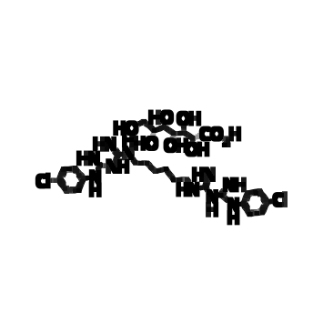 N=C(NCCCCCCNC(=N)NC(=N)Nc1ccc(Cl)cc1)NC(=N)Nc1ccc(Cl)cc1.O=C(O)[C@H](O)[C@H](O)[C@H](O)[C@@H](O)[C@H](O)CO